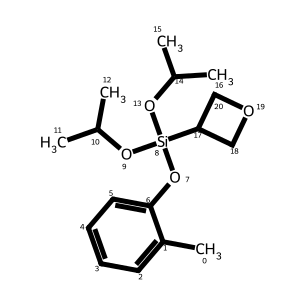 Cc1ccccc1O[Si](OC(C)C)(OC(C)C)C1COC1